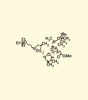 C=C1C[C@H](CCCO[Si](CC)(CC)CC)O[C@H]1CC[C@H]1C[C@@H](C)C(=C)[C@@H](C[C@@H]2O[C@H](C[C@H](C)CO[Si](C)(C)C(C)(C)C)[C@H](C)[C@H]2CC(=O)OC)O1